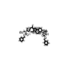 CC[C@H](C)CN(C(=O)OCc1ccccc1)[C@@H]1CO[C@]2(CC[C@@H]3C(=C(C)C2)C[C@H]2[C@H]3CC[C@@H]3C[C@H](NS(=O)(=O)NC(=O)OCc4ccccc4)CC[C@@]32C)[C@@H]1C